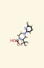 Cc1cccc(N2CCN(C(=O)O)C(C(C)(C)C)C2)n1